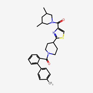 CC1CC(C)CN(C(=O)c2csc(C3CCN(C(=O)c4ccccc4-c4ccc(C(F)(F)F)cc4)CC3)n2)C1